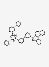 c1ccc(-c2cccc(-c3cc(-c4ccccc4)nc(-c4cccc(-c5cccc(-c6nc7ccccc7c7c6ccc6ccccc67)c5)c4)n3)c2)cc1